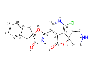 O=C1OC2(CCNCC2)c2c(Cl)ncc(C3=NC(=O)C4(Cc5ccccc5C4)O3)c21